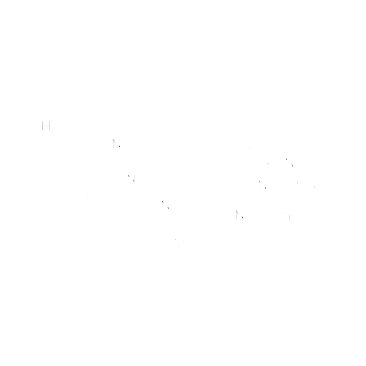 CCC1C(=O)NC(=O)N1c1ccc(C(=O)N2CCN(c3ncc(C)cc3C)CC2)cn1